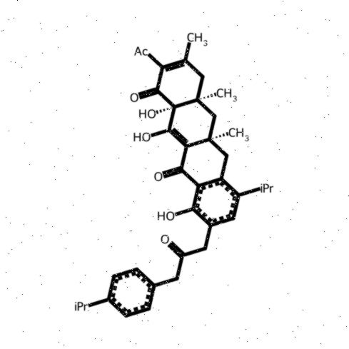 CC(=O)C1=C(C)C[C@@]2(C)C[C@@]3(C)Cc4c(C(C)C)cc(CC(=O)Cc5ccc(C(C)C)cc5)c(O)c4C(=O)C3=C(O)[C@@]2(O)C1=O